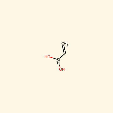 C=C[SiH](O)O